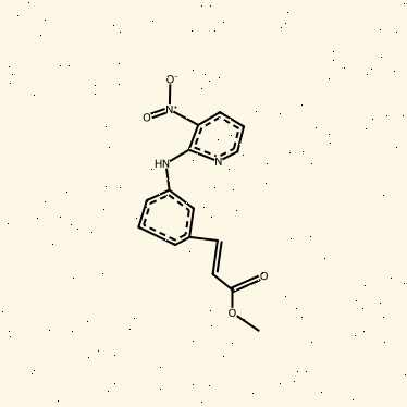 COC(=O)C=Cc1cccc(Nc2ncccc2[N+](=O)[O-])c1